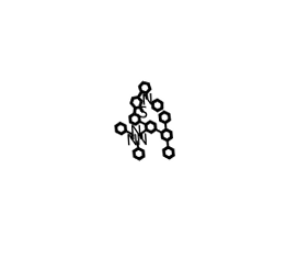 c1ccc(-c2ccc(-c3ccccc3)c(-c3ccc(-c4cccc5c4sc4c5ccc5c6ccccc6n(-c6ccccc6)c54)c(-c4nc(-c5ccccc5)nc(-c5ccccc5)n4)c3)c2)cc1